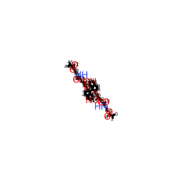 C=C(C)C(=O)OCCNC(=O)OCC(O)COc1ccc2ccccc2c1-c1c(OCC(O)COC(=O)NCCOC(=O)C(=C)C)ccc2ccccc12